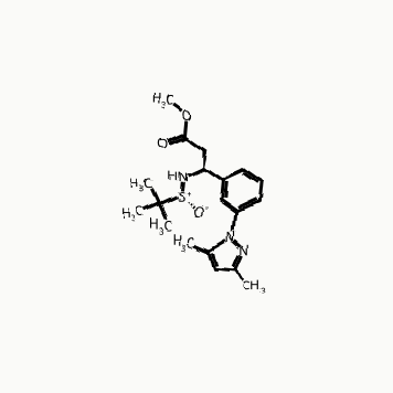 COC(=O)C[C@H](N[S@+]([O-])C(C)(C)C)c1cccc(-n2nc(C)cc2C)c1